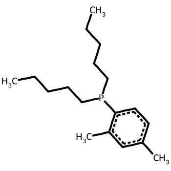 CCCCCP(CCCCC)c1ccc(C)cc1C